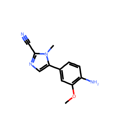 COc1cc(-c2cnc(C#N)n2C)ccc1N